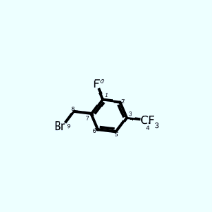 Fc1cc(C(F)(F)F)ccc1CBr